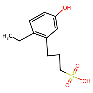 CCc1ccc(O)cc1CCCS(=O)(=O)O